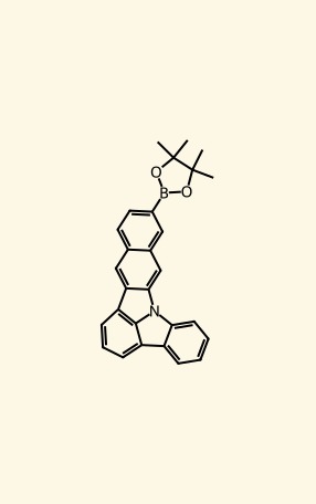 CC1(C)OB(c2ccc3cc4c5cccc6c7ccccc7n(c4cc3c2)c65)OC1(C)C